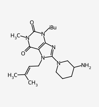 CCC(C)n1c(=O)n(C)c(=O)c2c1nc(N1CCCC(N)C1)n2CC=C(C)C